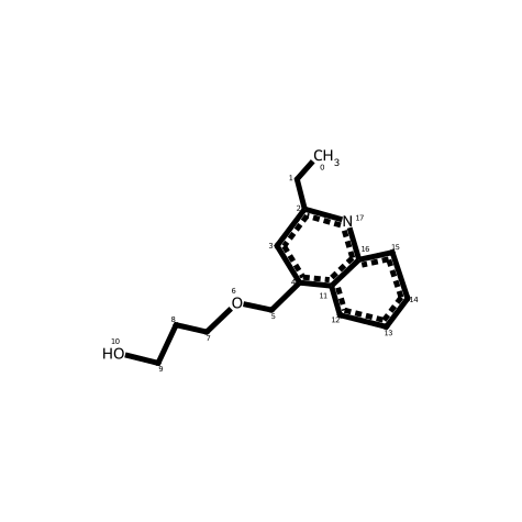 CCc1cc(COCCCO)c2ccccc2n1